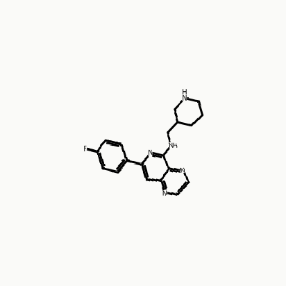 Fc1ccc(-c2cc3nccnc3c(NCC3CCCNC3)n2)cc1